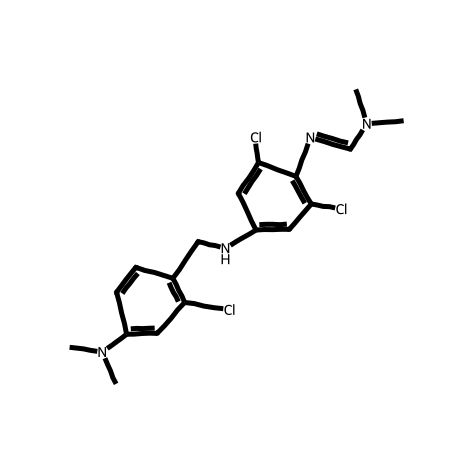 CN(C)C=Nc1c(Cl)cc(NCc2ccc(N(C)C)cc2Cl)cc1Cl